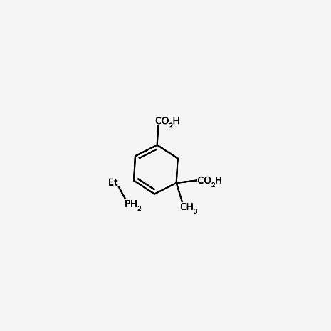 CC1(C(=O)O)C=CC=C(C(=O)O)C1.CCP